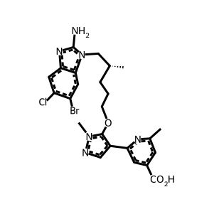 Cc1cc(C(=O)O)cc(-c2cnn(C)c2OCCC[C@@H](C)Cn2c(N)nc3cc(Cl)c(Br)cc32)n1